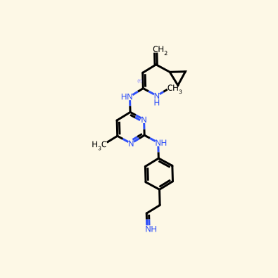 C=C(/C=C(\NC)Nc1cc(C)nc(Nc2ccc(CC=N)cc2)n1)C1CC1